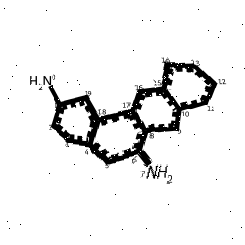 Nc1ccc2cc(N)c3cc4ccccc4cc3c2c1